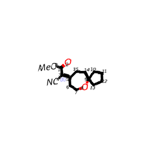 COC(=O)/C(C#N)=C1/CCOC2(CCCC2)CC1